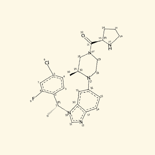 C[C@H](c1ccc(Cl)cc1F)n1cnc2ccc(N3CCN(C(=O)[C@H]4CCCN4)C[C@@H]3C)cc21